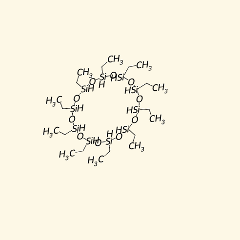 CC[SiH]1O[SiH](CC)O[SiH](CC)O[SiH](CC)O[SiH](CC)O[SiH](CC)O[SiH](CC)O[SiH](CC)O[SiH](CC)O[SiH](CC)O1